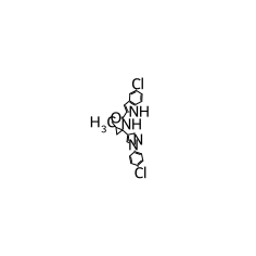 CC1CC1(NC(=O)c1cc2cc(Cl)ccc2[nH]1)c1cnn(-c2ccc(Cl)cc2)c1